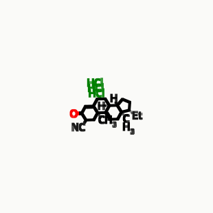 CC[C@H]1CC[C@H]2[C@@H]3CCC4=CC(=O)C(C#N)C[C@]4(C)C3=CC[C@]12C.Cl.Cl.Cl